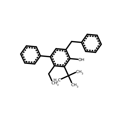 CCc1c(-c2ccccc2)cc(Cc2ccccc2)c(O)c1C(C)(C)C